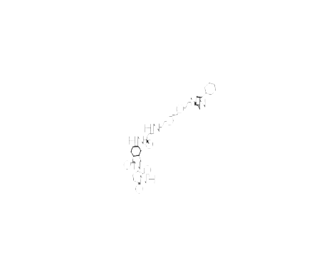 O=C1CCC(N2Cc3cc(NC(=O)CCNCCOCCOCCn4cc(C5CCCCC5)nn4)ccc3C2=O)C(=O)N1